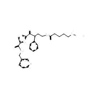 O=C(O)NCCCCC(=O)NCCC(C(=O)c1nc(C(=O)NCc2cccnc2)co1)c1ccccc1